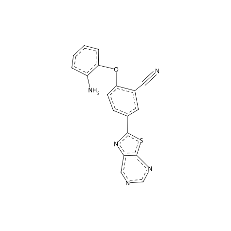 N#Cc1cc(-c2nc3cncnc3s2)ccc1Oc1ccccc1N